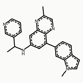 Cc1cnc2c(-c3ccc4ccn(C)c4c3)cc(NC(C)c3cccnc3)cc2n1